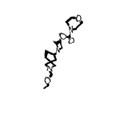 CCOCN1CC2(CCC(N3CC(OC(=O)N4CCOCC4)C3)C2)C1